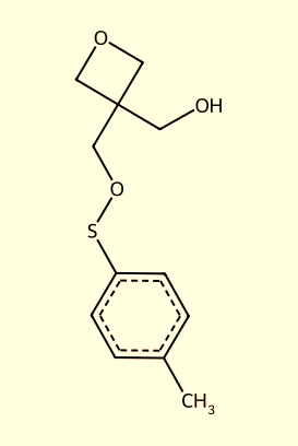 Cc1ccc(SOCC2(CO)COC2)cc1